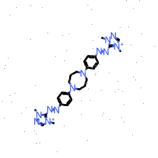 Cn1nc[n+](C)c1/N=N/c1ccc(N2CCCN(c3ccc(/N=N/c4n(C)nc[n+]4C)cc3)CCC2)cc1